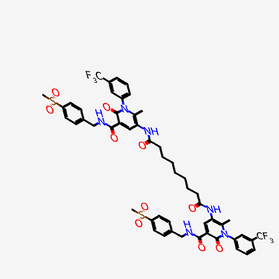 Cc1c(NC(=O)CCCCCCCC(=O)Nc2cc(C(=O)NCc3ccc(S(C)(=O)=O)cc3)c(=O)n(-c3cccc(C(F)(F)F)c3)c2C)cc(C(=O)NCc2ccc(S(C)(=O)=O)cc2)c(=O)n1-c1cccc(C(F)(F)F)c1